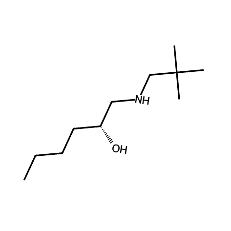 CCCC[C@@H](O)CNCC(C)(C)C